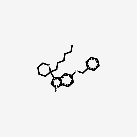 CCCCCCC1(c2c[nH]c3ccc(OCc4ccccc4)cc23)CCCCO1